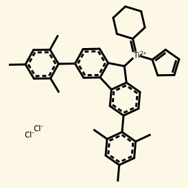 Cc1cc(C)c(-c2ccc3c(c2)-c2cc(-c4c(C)cc(C)cc4C)ccc2[CH]3[Ti+2]([C]2=CC=CC2)=[C]2CCCCC2)c(C)c1.[Cl-].[Cl-]